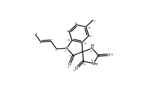 C/C=C/CN1C(=O)C2(NC(=O)NC2=O)c2cc(C)ccc21